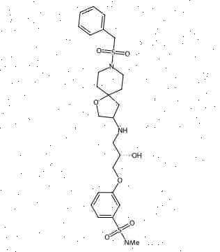 CNS(=O)(=O)c1cccc(OC[C@@H](O)CNC2COC3(CCN(S(=O)(=O)Cc4ccccc4)CC3)C2)c1